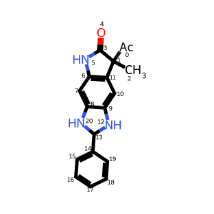 CC(=O)C1(C)C(=O)Nc2cc3c(cc21)NC(c1ccccc1)N3